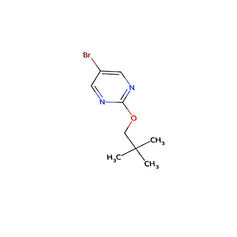 CC(C)(C)COc1ncc(Br)cn1